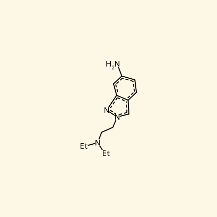 CCN(CC)CCn1cc2ccc(N)cc2n1